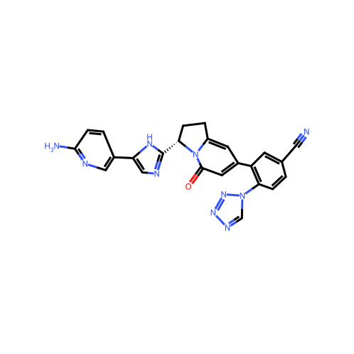 N#Cc1ccc(-n2cnnn2)c(-c2cc3n(c(=O)c2)[C@H](c2ncc(-c4ccc(N)nc4)[nH]2)CC3)c1